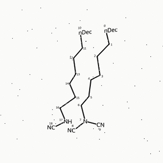 CCCCCCCCCCCCCCCCN(C#N)C#N.CCCCCCCCCCCCCCCCNC#N